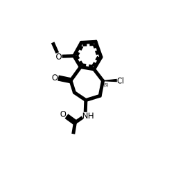 COc1cccc2c1C(=O)CC(NC(C)=O)C[C@@H]2Cl